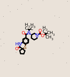 CC(C)N(C(=O)c1ccc2c(c1)NC(=O)C1(CCCC1)S2)[C@@H]1CCCN(C(=O)OC(C)(C)C)C1